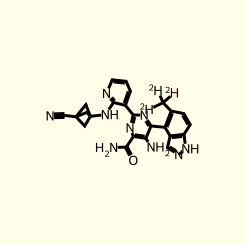 [2H]C([2H])([2H])c1ccc2[nH]ncc2c1-c1nc(-c2cccnc2NC23CC(C#N)(C2)C3)nc(C(N)=O)c1N